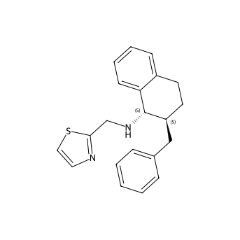 c1ccc(C[C@@H]2CCc3ccccc3[C@H]2NCc2nccs2)cc1